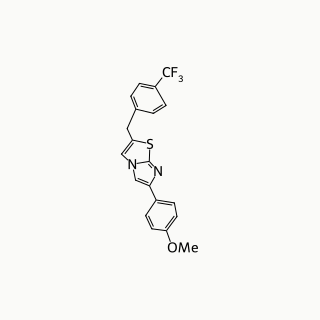 COc1ccc(-c2cn3cc(Cc4ccc(C(F)(F)F)cc4)sc3n2)cc1